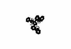 c1ccc(-c2nc3c(-c4cccc5c4oc4ccccc45)ccc(-c4cccc5c4oc4ccccc45)c3s2)cc1